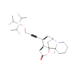 CC(C)[Si](OCC#CC1=C[C@@H]2CC3(OC(=O)C=C13)[C@H]1CCCCN21)(C(C)C)C(C)C